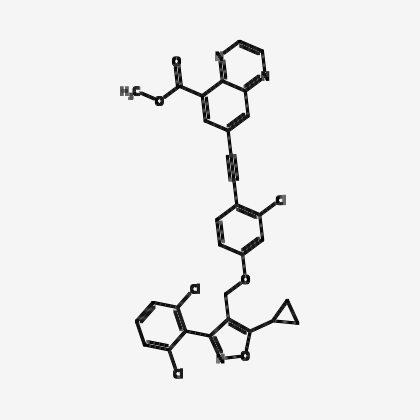 COC(=O)c1cc(C#Cc2ccc(OCc3c(-c4c(Cl)cccc4Cl)noc3C3CC3)cc2Cl)cc2nccnc12